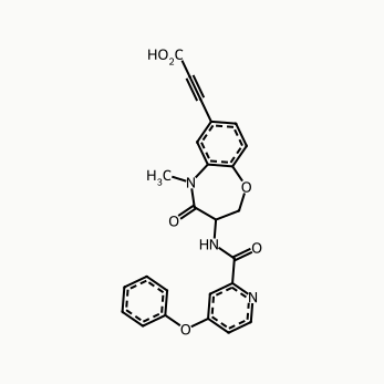 CN1C(=O)C(NC(=O)c2cc(Oc3ccccc3)ccn2)COc2ccc(C#CC(=O)O)cc21